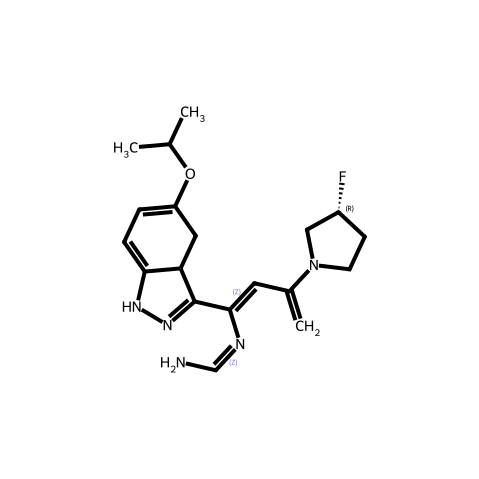 C=C(/C=C(\N=C/N)C1=NNC2=CC=C(OC(C)C)CC21)N1CC[C@@H](F)C1